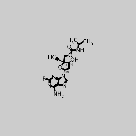 C#C[C@]1(COC(=O)NC(C)C)O[C@@H](n2cnc3c(N)nc(F)nc32)C[C@@H]1O